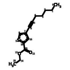 CCCCCC#Cc1csc(C(=O)OCC)c1